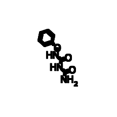 NC(=O)NC(=O)NOc1ccccc1